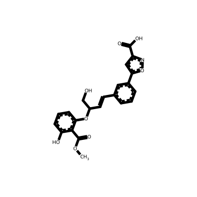 COC(=O)c1c(O)cccc1OC(C=Cc1cccc(-c2cc(C(=O)O)no2)c1)CO